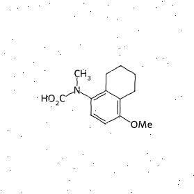 COc1ccc(N(C)C(=O)O)c2c1CCCC2